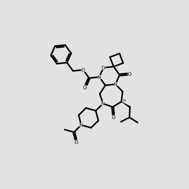 CC(=O)N1CCC(N2CC3N(C[C@@H](CC(C)C)C2=O)C(=O)C2(CCC2)ON3C(=O)OCc2ccccc2)CC1